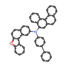 c1ccc(-c2ccc(N(c3ccc4ccc5oc6ccccc6c5c4c3)c3cc4ccc5ccccc5c4c4ccccc34)cc2)cc1